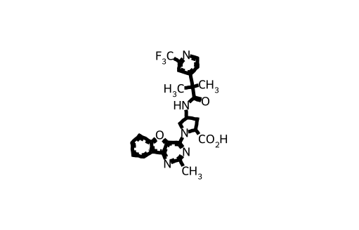 Cc1nc(N2CC(NC(=O)C(C)(C)c3ccnc(C(F)(F)F)c3)CC2C(=O)O)c2oc3ccccc3c2n1